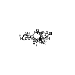 CC[C@H]1CCC[C@H](C[C@H]2CC[C@H](N(C)C)C(C)O2)[C@@H](C)C(=O)C2=C[C@@H]3[C@@H](C[C@@H](Nc4cc(Cl)cc(Cl)c4)C4CCC[C@H]43)[C@@H]2CC(=O)O1